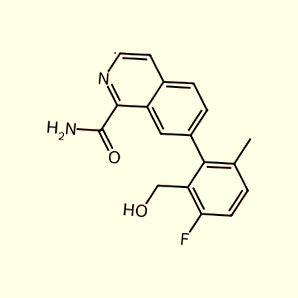 Cc1ccc(F)c(CO)c1-c1ccc2c[c]nc(C(N)=O)c2c1